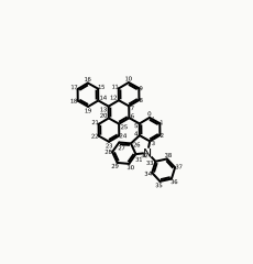 [c]1ccc2c(c1-c1c3ccccc3c(-c3ccccc3)c3ccccc13)c1ccccc1n2-c1ccccc1